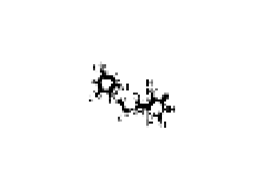 C=C1NC(=O)NC(C(=O)N[C@H](C)COc2c(Cl)cc(Cl)cc2Cl)=C1N